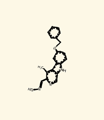 Cc1c(/C=N/O)ncc2[nH]c3ccc(OCc4ccccc4)cc3c12